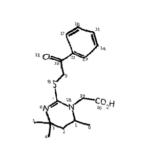 CC1CC(C)(C)N=C(SCC(=O)c2ccccc2)N1CC(=O)O